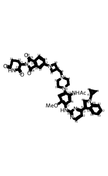 COc1cc(N2CCN(CC3CN(c4ccc5c(c4)C(=O)N(C4CCC(=O)NC4=O)C5=O)C3)CC2)c(NC(C)=O)cc1Nc1nccc(-c2cn(C3CC3)c3ccccc23)n1